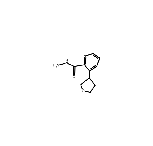 NNC(=O)c1ncccc1C1CCOC1